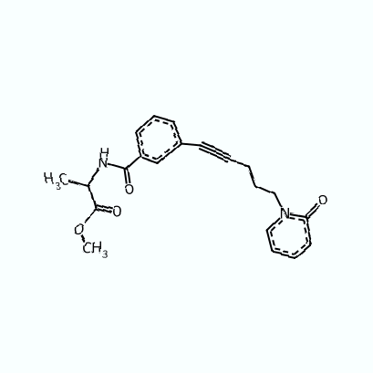 COC(=O)C(C)NC(=O)c1cccc(C#CCCCn2ccccc2=O)c1